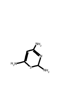 NC1=CC(N)=NC(N)S1